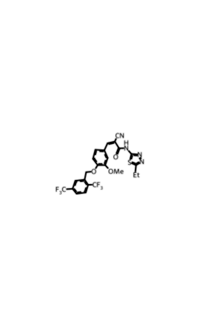 CCc1nnc(NC(=O)C(C#N)=Cc2ccc(OCc3cc(C(F)(F)F)ccc3C(F)(F)F)c(OC)c2)s1